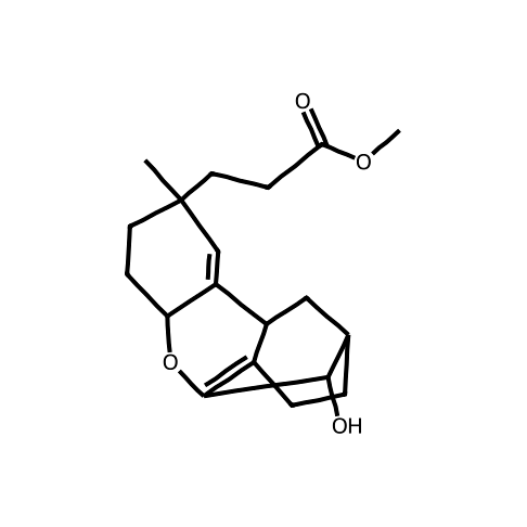 COC(=O)CCC1(C)C=C2C(CC1)OC1=C3CCC(CC23)C1O